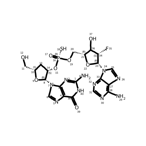 Nc1nc2c(ncn2[C@@H]2O[C@H](CO)C[C@@H]2O[P@](=O)(S)OC[C@H]2O[C@@H](n3cnc4c(N)ncnc43)[C@@H](F)C2O)c(=O)[nH]1